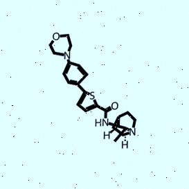 C[C@H]1[C@H](NC(=O)c2ccc(-c3ccc(N4CCOCC4)cc3)s2)C2CCN1CC2